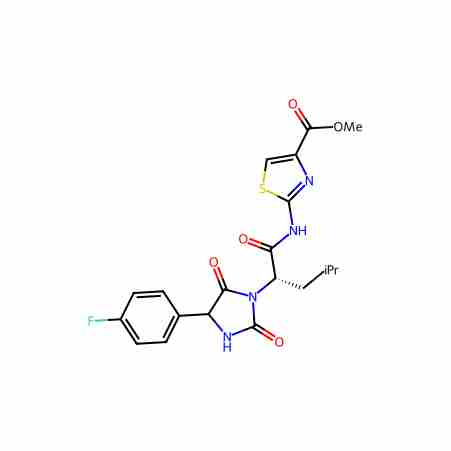 COC(=O)c1csc(NC(=O)[C@H](CC(C)C)N2C(=O)NC(c3ccc(F)cc3)C2=O)n1